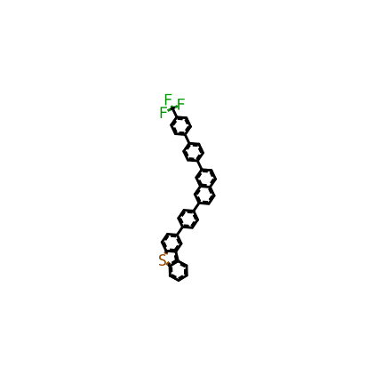 FC(F)(F)c1ccc(-c2ccc(-c3ccc4ccc(-c5ccc(-c6ccc7sc8ccccc8c7c6)cc5)cc4c3)cc2)cc1